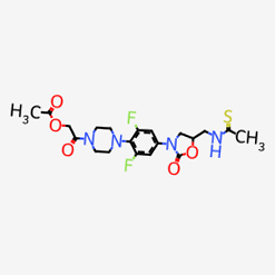 CC(=O)OCC(=O)N1CCN(c2c(F)cc(N3CC(CNC(C)=S)OC3=O)cc2F)CC1